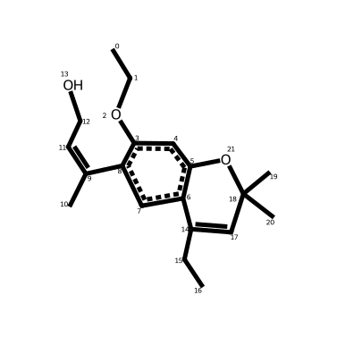 CCOc1cc2c(cc1/C(C)=C\CO)C(CC)=CC(C)(C)O2